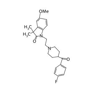 COc1ccc2c(c1)C(C)(C)C(=O)N2CCN1CCC(C(=O)c2ccc(F)cc2)CC1